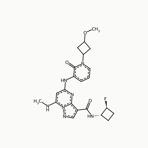 CNc1cc(Nc2cccn(C3CC(OC)C3)c2=O)nc2c(C(=O)N[C@H]3CC[C@@H]3F)cnn12